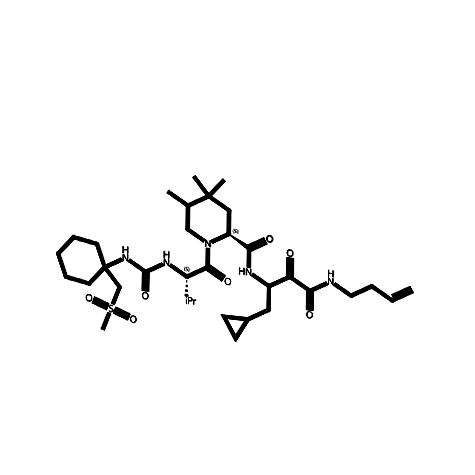 C=CCCNC(=O)C(=O)C(CC1CC1)NC(=O)[C@@H]1CC(C)(C)C(C)CN1C(=O)[C@@H](NC(=O)NC1(CS(C)(=O)=O)CCCCC1)C(C)C